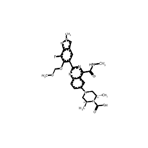 CNC(=O)c1nc(-c2cc3cn(C)nc3c(F)c2OCOC)nc2ccc(N3C[C@H](C)N(C(=O)O)[C@@H](C)C3)cc12